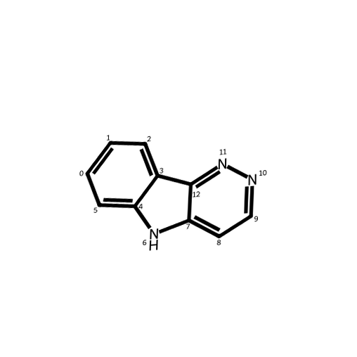 c1ccc2c(c1)[nH]c1ccnnc12